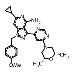 COc1ccc(Cn2nc(-c3cc(N4C[C@@H](C)O[C@@H](C)C4)ncn3)c3c(N)nc(C4CC4)cc32)cc1